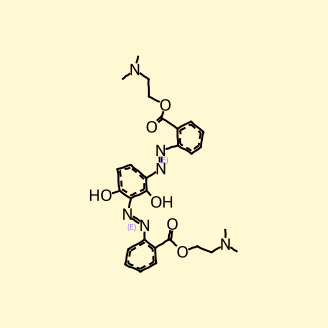 CN(C)CCOC(=O)c1ccccc1/N=N/c1ccc(O)c(/N=N/c2ccccc2C(=O)OCCN(C)C)c1O